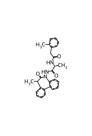 Cc1ccccc1CC(=O)N[C@@H](C)C(=O)NN1C(=O)C(C)c2ccccc2-c2ccccc21